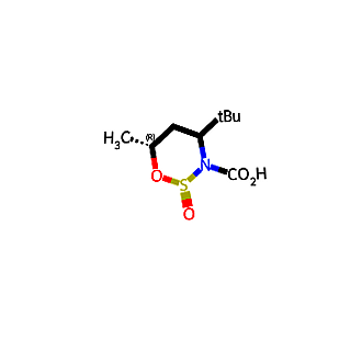 C[C@@H]1CC(C(C)(C)C)N(C(=O)O)S(=O)O1